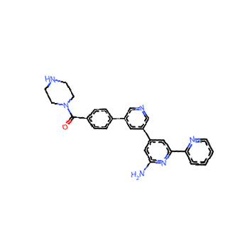 Nc1cc(-c2cncc(-c3ccc(C(=O)N4CCNCC4)cc3)c2)cc(-c2ccccn2)n1